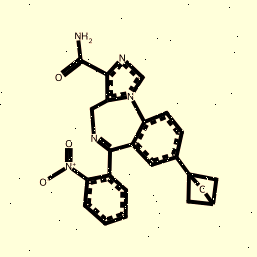 NC(=O)c1ncn2c1CN=C(c1ccccc1[N+](=O)[O-])c1cc(C34CC(C3)C4)ccc1-2